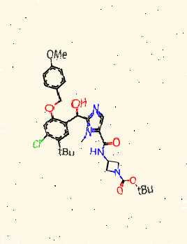 COc1ccc(COc2cc(Cl)c(C(C)(C)C)cc2C(O)c2ncc(C(=O)NC3CN(C(=O)OC(C)(C)C)C3)n2C)cc1